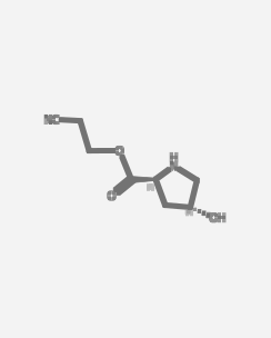 N#CCCOC(=O)[C@@H]1C[C@@H](O)CN1